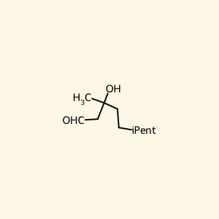 CCCC(C)CCC(C)(O)CC=O